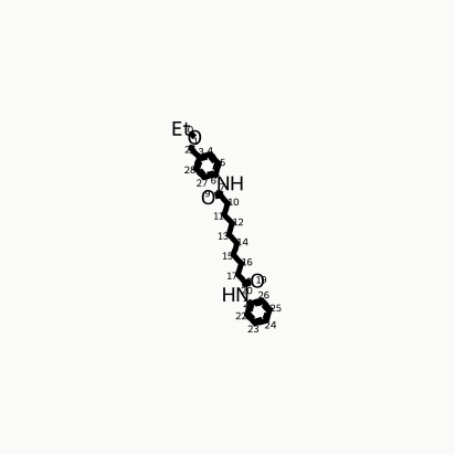 CCO[CH]c1ccc(NC(=O)CCCCCCCCC(=O)Nc2ccccc2)cc1